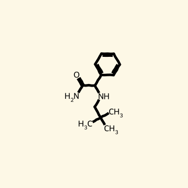 CC(C)(C)CNC(C(N)=O)c1ccccc1